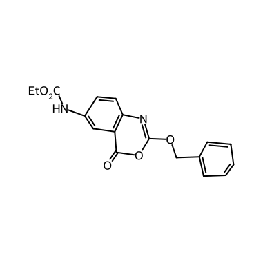 CCOC(=O)Nc1ccc2nc(OCc3ccccc3)oc(=O)c2c1